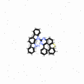 c1ccc(-c2nc(-n3c4ccccc4c4ccc5c6ccccc6[nH]c5c43)nc3ccc4sc5ccccc5c4c23)cc1